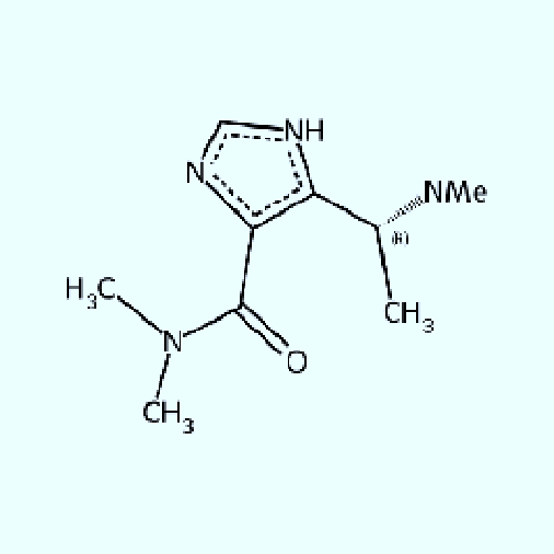 CN[C@H](C)c1[nH]cnc1C(=O)N(C)C